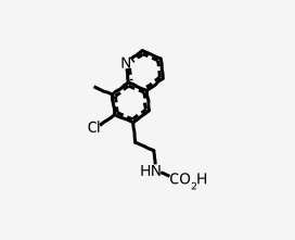 Cc1c(Cl)c(CCNC(=O)O)cc2cccnc12